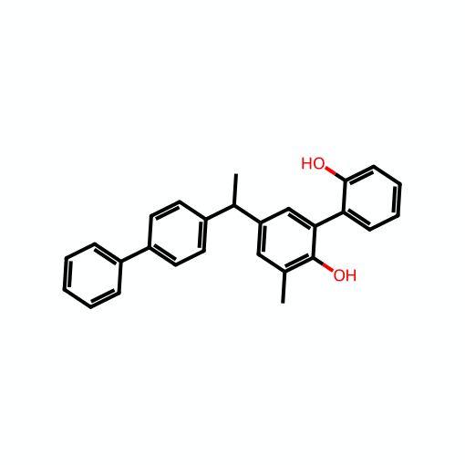 Cc1cc(C(C)c2ccc(-c3ccccc3)cc2)cc(-c2ccccc2O)c1O